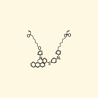 C=CC(=O)CCCCCCOc1ccc(N(Cc2c3ccccc3cc3ccccc23)c2ccc(Sc3ccc(N(C)c4ccc(CCCCCCOC(=O)C=C)cc4)cc3)cc2)cc1